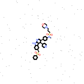 CN(c1ccc(-c2cnc3[nH]c4ccc(CS(=O)(=O)c5ccccc5)cc4c3c2-c2ccncc2)cc1)S(=O)(=O)CCCN1CCOCC1